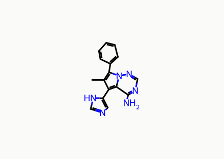 Cc1c(-c2cnc[nH]2)c2c(N)ncnn2c1-c1ccccc1